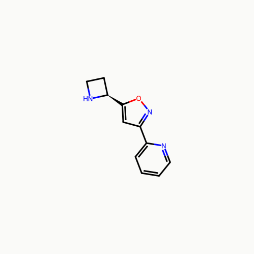 c1ccc(-c2cc([C@@H]3CCN3)on2)nc1